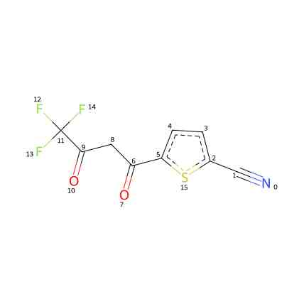 N#Cc1ccc(C(=O)CC(=O)C(F)(F)F)s1